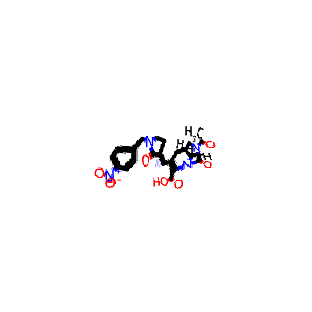 CC(=O)N1C[C@H]2CC(/C=C3\CCN(Cc4ccc([N+](=O)[O-])cc4)C3=O)=C(C(=O)O)N3C(=O)[C@@H]1[C@@H]23